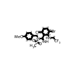 COc1ccc(CN(C(=N)c2c(Cl)ccc(Br)c2NCC(F)(F)F)S(C)(=O)=O)cc1